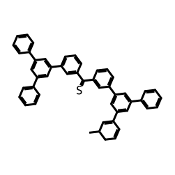 CC1C=C(c2cc(-c3ccccc3)cc(-c3cccc(C(=S)c4cccc(-c5cc(-c6ccccc6)cc(-c6ccccc6)c5)c4)c3)c2)C=CC1